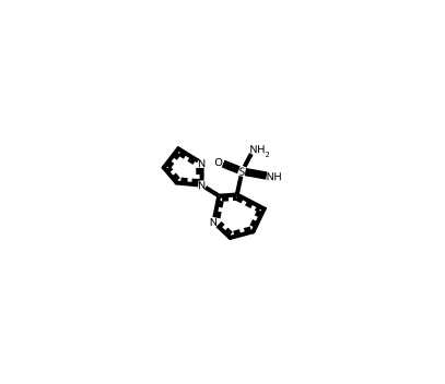 N=S(N)(=O)c1cccnc1-n1cccn1